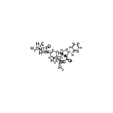 CN[C@H](C)C(=O)NC1=CCC(C2[C@@H]3CC[C@H](Cc4ccccc4)N3C(=O)OC2(C)C)C=C1